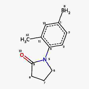 Bc1ccc(N2CCCC2=O)c(C)c1